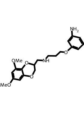 COc1cc(OC)c2c(c1)OCC(CNCCCOc1cccc(N)c1)O2